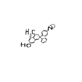 CC1=c2ccc(O)cc2=CC(c2ccccc2)(c2ccc(N3CCCC3)cc2)C1